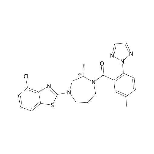 Cc1ccc(-n2nccn2)c(C(=O)N2CCCN(c3nc4c(Cl)cccc4s3)C[C@@H]2C)c1